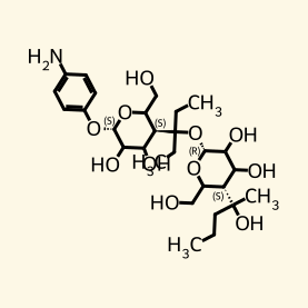 CCCC(C)(O)[C@@H]1C(CO)O[C@H](OC(CC)(CC)[C@@H]2C(CO)O[C@@H](Oc3ccc(N)cc3)C(O)C2O)C(O)C1O